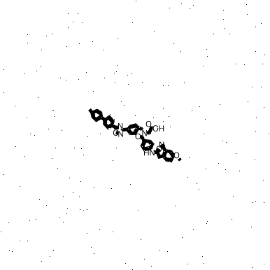 COc1ccc(CC(=O)Nc2ccc(C(=O)N(CC(=O)O)Cc3ccc(-c4noc(-c5ccc(-c6ccc(C)cc6)cc5)n4)cc3)cc2)c(C#N)c1